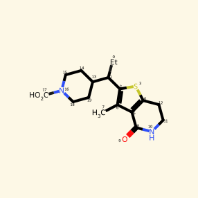 CCC(c1sc2c(c1C)C(=O)NCC2)C1CCN(C(=O)O)CC1